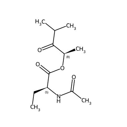 CC[C@H](NC(C)=O)C(=O)O[C@H](C)C(=O)C(C)C